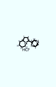 Cl.c1cnc(C2CCC3CCCCN32)cn1